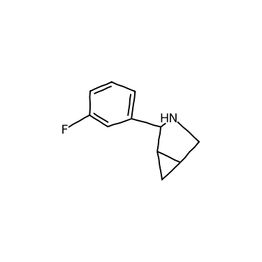 Fc1cccc(C2NCC3CC32)c1